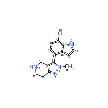 Cn1nc2c(c1-c1ccc(Cl)c3[nH]ccc13)CNCC2